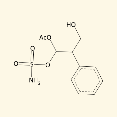 CC(=O)OC(OS(N)(=O)=O)C(CO)c1ccccc1